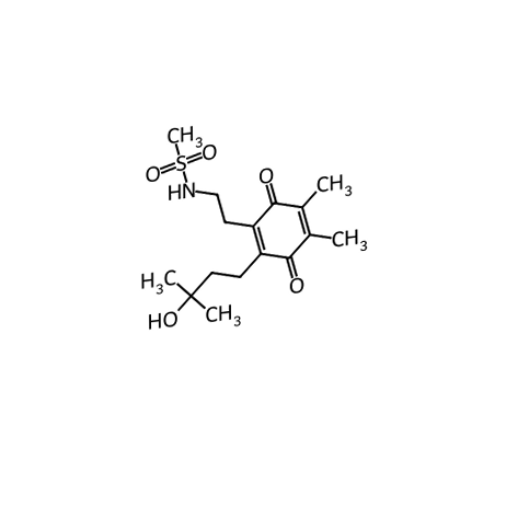 CC1=C(C)C(=O)C(CCC(C)(C)O)=C(CCNS(C)(=O)=O)C1=O